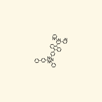 c1ccc(-c2ccc(-c3nc(-c4ccccc4)nc(-c4ccc(-c5c6ccccc6c(-c6cc(-c7cccnc7)nc(-c7ccccn7)c6)c6ccccc56)cc4)n3)cc2)cc1